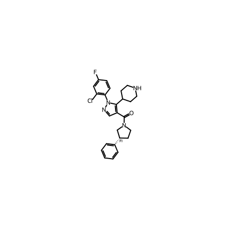 O=C(c1cnn(-c2ccc(F)cc2Cl)c1C1CCNCC1)N1CC[C@H](c2ccccc2)C1